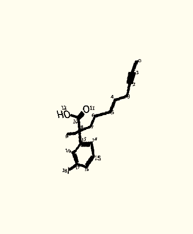 CC#CCCCCCC(C)(C(=O)O)c1cccc(I)c1